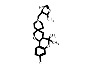 CC1N=CNC1CN1CCC2(CC1)COC1c3ccc(Cl)cc3OC(C)(C)C1C2